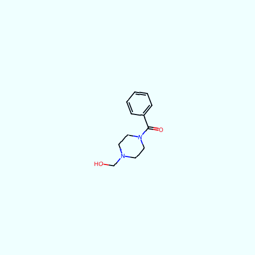 O=C(c1ccccc1)N1CCN(CO)CC1